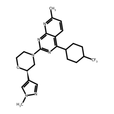 Cc1ccc2c(C3CCC(C(F)(F)F)CC3)nc(N3CCO[C@H](c4cnn(C)c4)C3)nc2n1